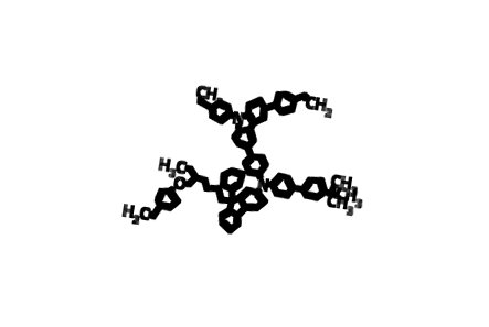 C=Cc1ccc(OCC(CC)CCCCC2(c3ccccc3)c3ccccc3-c3ccc(N(c4ccc(-c5ccc(C(C)(C)C)cc5)cc4)c4ccc(-c5ccc6c(c5)c5cc(-c7ccc(C=C)cc7)ccc5n6-c5ccc(C=C)cc5)cc4)cc32)cc1